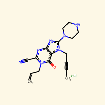 C=CCn1c(C#N)nc2nc(N3CCNCC3)n(CC#CC)c2c1=O.Cl